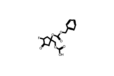 O=C(O)OCC1(OC(=O)OCc2ccccc2)CC(=O)C(F)C1